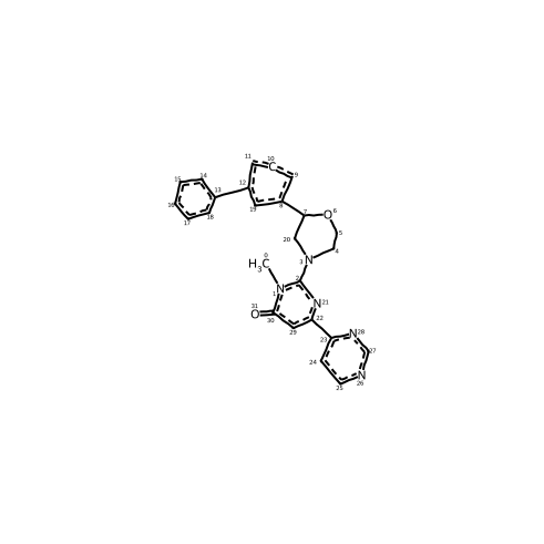 Cn1c(N2CCOC(c3cccc(-c4ccccc4)c3)C2)nc(-c2ccncn2)cc1=O